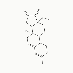 C=C1CC2[C@@H]3CC=C4C=C(C)CCC4C3CC[C@]2(CC)C1=O